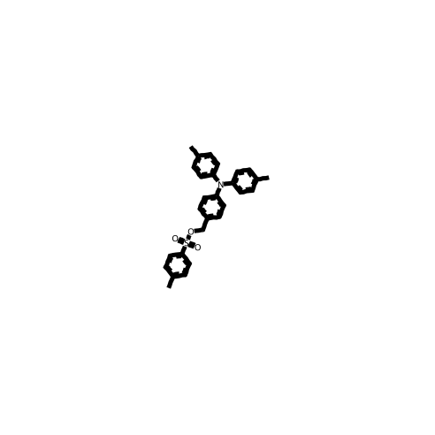 Cc1ccc(N(c2ccc(C)cc2)c2ccc(COS(=O)(=O)c3ccc(C)cc3)cc2)cc1